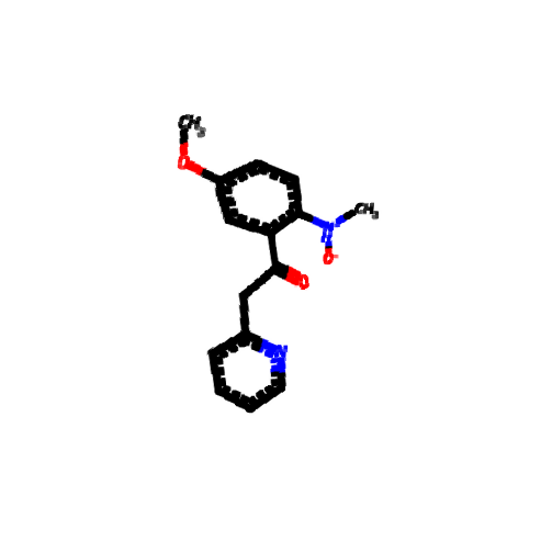 COc1ccc([NH+](C)[O-])c(C(=O)Cc2ccccn2)c1